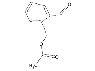 CC(=O)OCc1ccccc1C=O